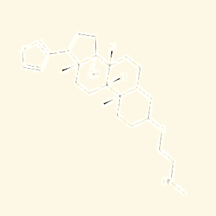 CNCCOC1CC[C@@]2(C)C(CC[C@@H]3[C@H]2CC[C@]2(C)C(c4ccoc4)CC[C@@]32O)C1